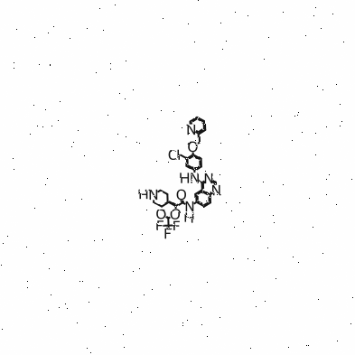 O=C(Nc1ccc2ncnc(Nc3ccc(OCc4ccccn4)c(Cl)c3)c2c1)C(OC(=O)C(F)(F)F)=C1CCNCC1